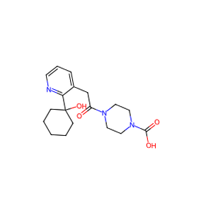 O=C(O)N1CCN(C(=O)Cc2cccnc2C2(O)CCCCC2)CC1